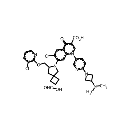 CN(C)C1CN(c2ccc(-n3cc(C(=O)O)c(=O)c4cc(Cl)c(N5CC6(CCC6)CC5COc5ncccc5Cl)cc43)cn2)C1.O=CO